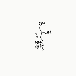 C=C.CCCCC(O)CO.NN